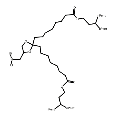 CCCCCC(CCCCC)CCOC(=O)CCCCCCCC1(CCCCCCCC(=O)OCCC(CCCCC)CCCCC)OCC(CN(CC)CC)O1